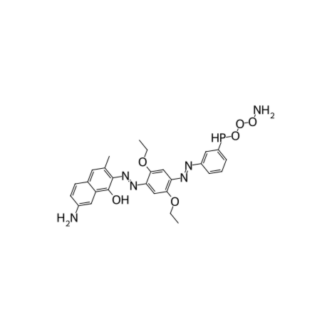 CCOc1cc(N=Nc2c(C)cc3ccc(N)cc3c2O)c(OCC)cc1N=Nc1cccc(POOON)c1